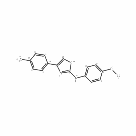 CCOc1ccc(Nc2nc(-c3ccc(C)cc3)cs2)cc1